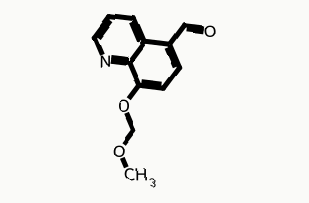 COCOc1ccc(C=O)c2cccnc12